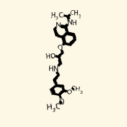 COc1ccc(CCNCC(O)COc2cccc3c(NC(C)C)nccc23)cc1OC